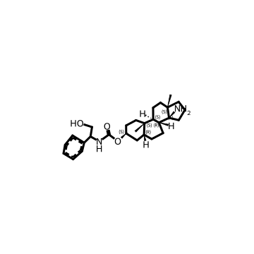 C[C@]12CC[C@H](OC(=O)NC(CO)c3ccccc3)C[C@H]1CC[C@@H]1[C@@H]2CC[C@]2(C)CCC[C@]12N